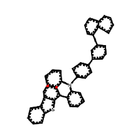 c1ccc(N(c2ccc(-c3cccc(-c4cccc5ccccc45)c3)cc2)c2ccccc2-c2cccc3c2sc2ccccc23)cc1